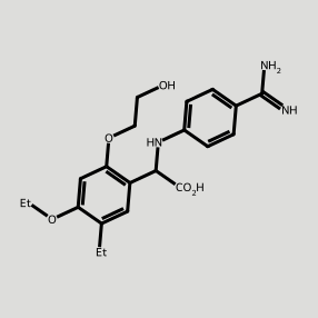 CCOc1cc(OCCO)c(C(Nc2ccc(C(=N)N)cc2)C(=O)O)cc1CC